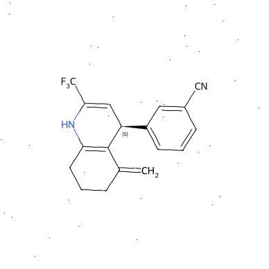 C=C1CCCC2=C1[C@H](c1cccc(C#N)c1)C=C(C(F)(F)F)N2